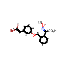 CCON=C(C(=O)O)c1ccccc1COc1cccc(C=C(Br)Br)c1